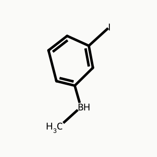 CBc1cccc(I)c1